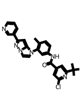 Cc1ccc(NC(=O)c2cc(Cl)nc(C(C)(C)C)c2)cc1-n1ccn2nc(-c3cccnc3)cc12